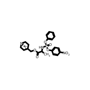 CC(NP(=O)(Oc1ccccc1)Oc1ccc([N+](=O)[O-])cc1)C(=O)OCC12CCN(CC1)CC2